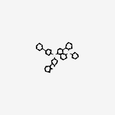 c1ccc(-c2ccc(N(c3ccc4oc5ccccc5c4c3)c3ccc4c5c(cccc35)N(c3ccccc3)c3ccccc3-4)cc2)cc1